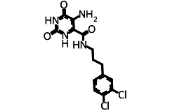 Nc1c(C(=O)NCCCc2ccc(Cl)c(Cl)c2)[nH]c(=O)[nH]c1=O